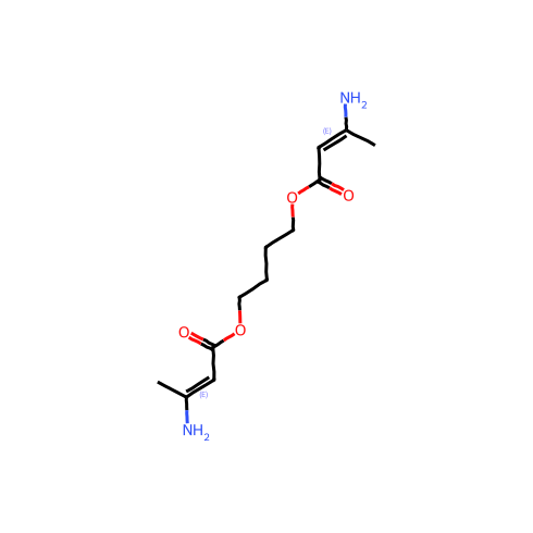 C/C(N)=C\C(=O)OCCCCOC(=O)/C=C(\C)N